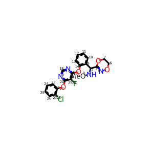 CONC(C1=NOCCO1)c1ccccc1Oc1ncnc(Oc2ccccc2Cl)c1F